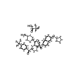 NC1CCN(C(=O)C2CN(C(=O)c3ccc(C(F)(F)F)cc3)CCN2S(=O)(=O)c2ccc3cc(OC4CCCC4)ccc3c2)CC1.O=C(O)C(F)(F)F